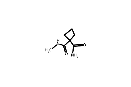 CNC(=O)C1(C(N)=O)CCC1